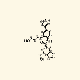 O=C(Nc1ccc(-c2cn[nH]c2)cc1OCCCO)N(CCCO)CC1CCCC1